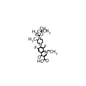 CCn1cc(C(=O)O)c(=O)c2cc(F)c(N3CCN(C(=O)OC(C)(C)C)C(C)C3)c(F)c21